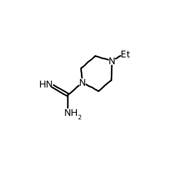 [CH2]CN1CCN(C(=N)N)CC1